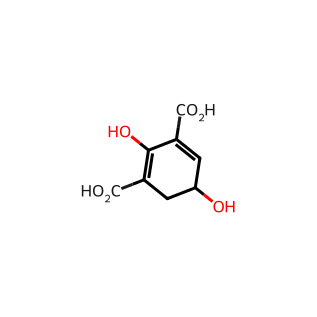 O=C(O)C1=CC(O)CC(C(=O)O)=C1O